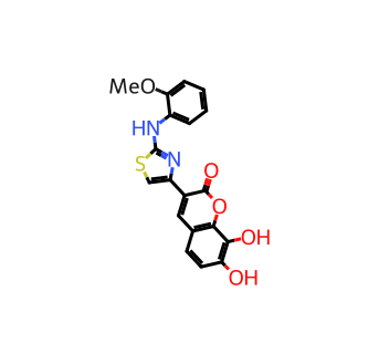 COc1ccccc1Nc1nc(-c2cc3ccc(O)c(O)c3oc2=O)cs1